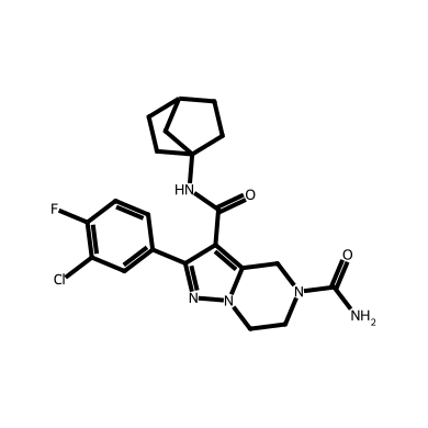 NC(=O)N1CCn2nc(-c3ccc(F)c(Cl)c3)c(C(=O)NC34CCC(CC3)C4)c2C1